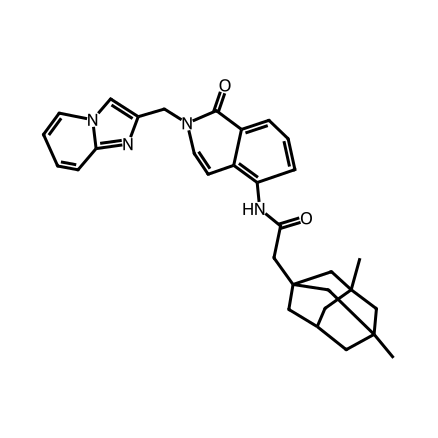 CC12CC3CC(C)(C1)CC(CC(=O)Nc1cccc4c(=O)n(Cc5cn6ccccc6n5)ccc14)(C3)C2